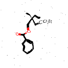 C=C[C@@](C)(COC(=O)c1ccccc1)CC(=O)OCC